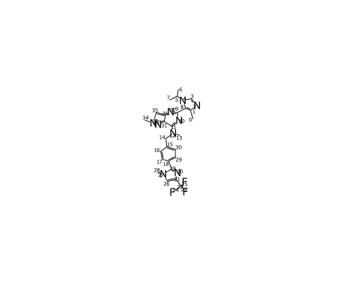 Cc1ncn(C(C)C)c1-c1nc(N(C)Cc2ccc(-c3nc(C(F)(F)F)cn3C)cc2)c2nn(C)cc2n1